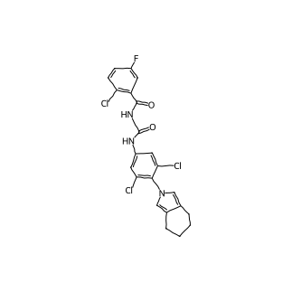 O=C(NC(=O)c1cc(F)ccc1Cl)Nc1cc(Cl)c(-n2cc3c(c2)CCCC3)c(Cl)c1